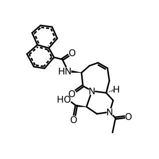 CC(=O)N1C[C@@H]2CC=CC[C@H](NC(=O)c3cccc4ccccc34)C(=O)N2[C@H](C(=O)O)C1